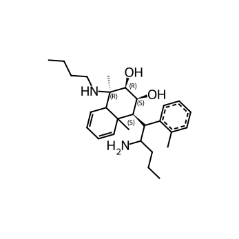 CCCCN[C@]1(C)C2C=CC=CC2(C)[C@H](C(c2ccccc2C)C(N)CCC)[C@H](O)[C@@H]1O